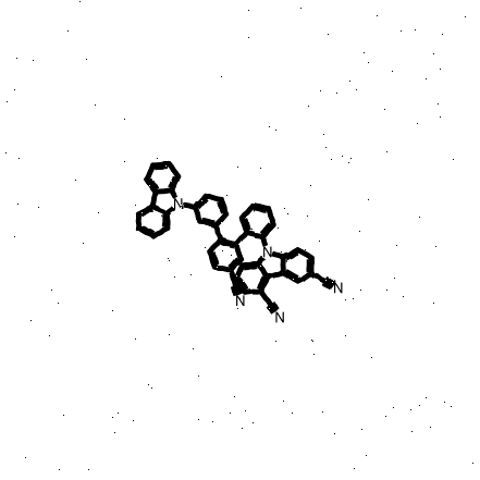 N#Cc1ccc(-c2cccc(-n3c4ccccc4c4ccccc43)c2)c(-c2ccccc2-n2c3ccc(C#N)cc3c3c(C#N)cccc32)c1